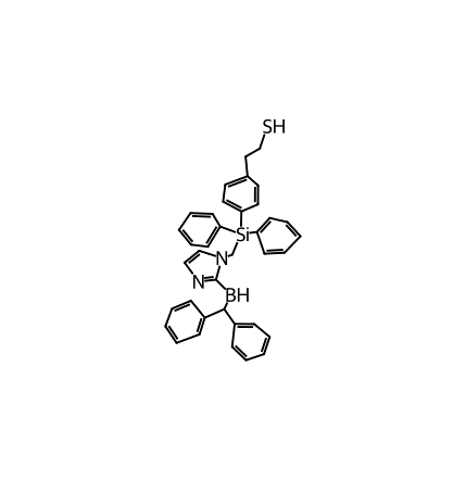 SCCc1ccc([Si](Cn2ccnc2BC(c2ccccc2)c2ccccc2)(c2ccccc2)c2ccccc2)cc1